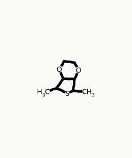 CC1SC(C)C2OCCOC12